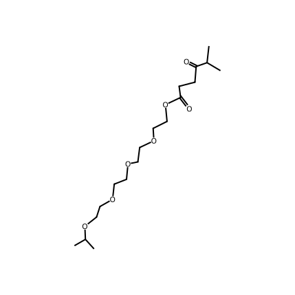 CC(C)OCCOCCOCCOCCOC(=O)CCC(=O)C(C)C